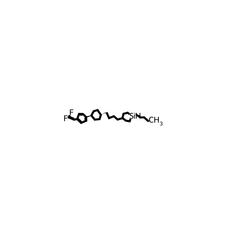 CCCCC[SiH]1CCC(CCCC[C@H]2CC[C@H](c3ccc(C=C(F)F)cc3)CC2)CC1